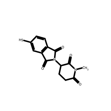 CN1C(=O)CCC(N2C(=O)c3ccc(S)cc3C2=O)C1=O